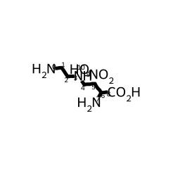 NCCNCCC(N)C(=O)O.O=[N+]([O-])O